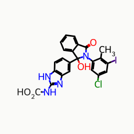 Cc1c(I)cc(Cl)cc1N1C(=O)c2ccccc2C1(O)c1ccc2[nH]c(NC(=O)O)nc2c1